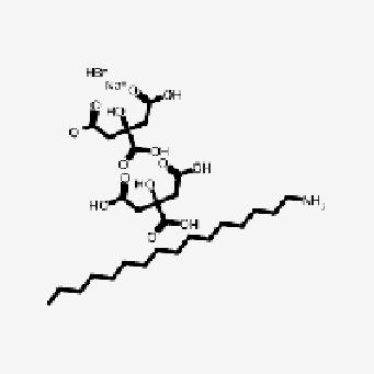 Br.CCCCCCCCCCCCCCCCN.O=C(O)CC(O)(CC(=O)O)C(=O)O.O=C([O-])CC(O)(CC(=O)O)C(=O)O.[Na+]